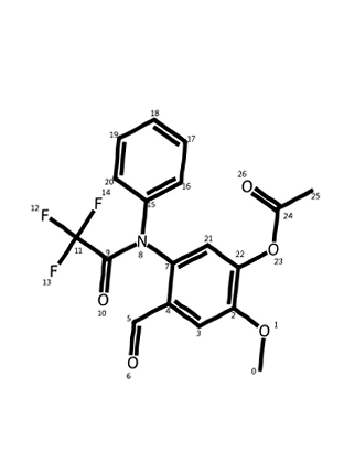 COc1cc(C=O)c(N(C(=O)C(F)(F)F)c2ccccc2)cc1OC(C)=O